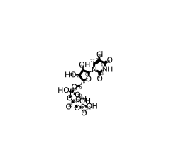 O=c1[nH]c(=O)n([C@@H]2O[C@H](COP(=O)(O)OP(=O)(O)OP(=O)(O)O)[C@@H](O)[C@H]2O)cc1Cl